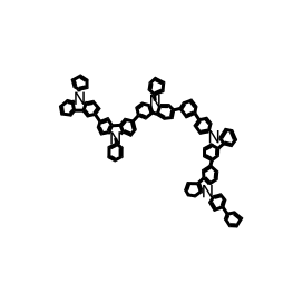 C1=Cc2c(n(-c3ccc(-c4ccccc4)cc3)c3ccc(-c4ccc5c(c4)c4ccccc4n5-c4ccc(-c5cccc(-c6ccc7c8cc(-c9ccc%10c(c9)c9cc(-c%11ccc%12c(c%11)c%11ccccc%11n%12-c%11ccccc%11)ccc9n%10-c9ccccc9)ccc8n(-c8ccccc8)c7c6)c5)cc4)cc23)CC1